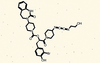 O=C(O[C@H](Cc1ccc(O)c(Br)c1)C(=O)N1CCC(N=C=C=NCCO)CC1)N1CCC(N2CCc3ccccc3NC2=O)CC1